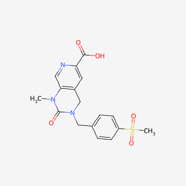 CN1C(=O)N(Cc2ccc(S(C)(=O)=O)cc2)Cc2cc(C(=O)O)ncc21